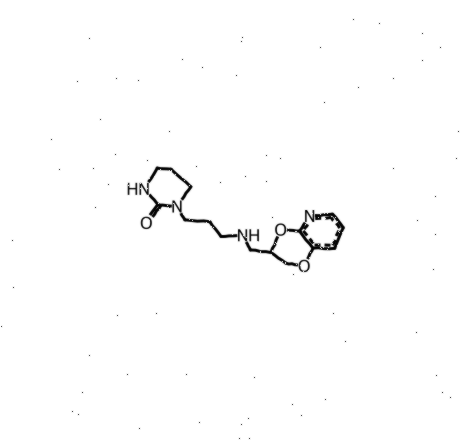 O=C1NCCCN1CCCNCC1COc2cccnc2O1